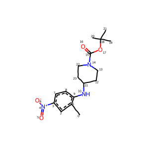 Cc1cc([N+](=O)[O-])ccc1NC1CCN(C(=O)OC(C)(C)C)CC1